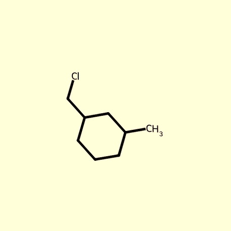 CC1CCCC(CCl)C1